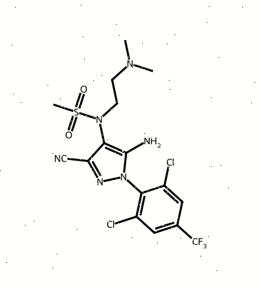 CN(C)CCN(c1c(C#N)nn(-c2c(Cl)cc(C(F)(F)F)cc2Cl)c1N)S(C)(=O)=O